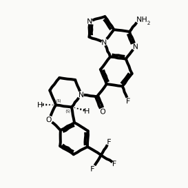 Nc1nc2cc(F)c(C(=O)N3CCC[C@@H]4Oc5ccc(C(F)(F)F)cc5[C@@H]43)cc2n2cncc12